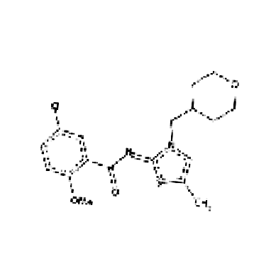 COc1ccc(Cl)cc1C(=O)/N=c1\sc(C)cn1CC1CCOCC1